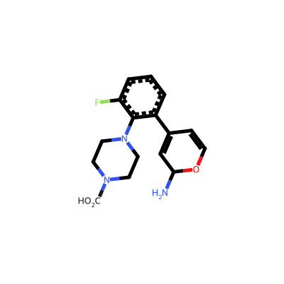 NC1C=C(c2cccc(F)c2N2CCN(C(=O)O)CC2)C=CO1